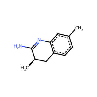 Cc1ccc2c(c1)N=C(N)[C@H](C)C2